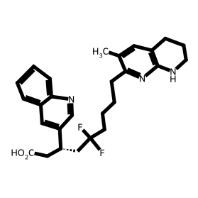 Cc1cc2c(nc1CCCCC(F)(F)C[C@H](CC(=O)O)c1cnc3ccccc3c1)NCCC2